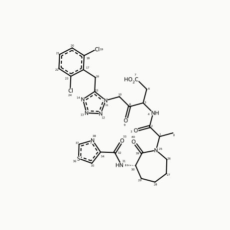 CC(C(=O)NC(CC(=O)O)C(=O)Cn1nnnc1Cc1c(Cl)cccc1Cl)N1CCCC[C@H](NC(=O)c2cscn2)C1=O